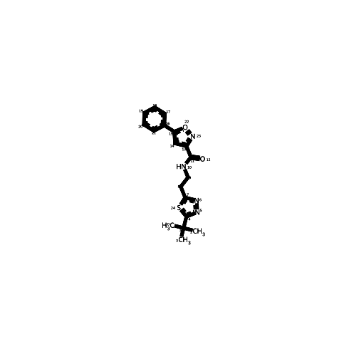 CC(C)(C)c1nnc(CCNC(=O)c2cc(-c3ccccc3)on2)s1